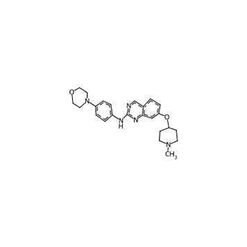 CN1CCC(Oc2ccc3cnc(Nc4ccc(N5CCOCC5)cc4)nc3c2)CC1